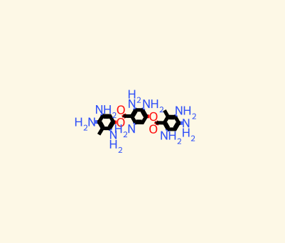 Cc1c(N)c(N)cc(OC(=O)c2c(N)cc(OC(=O)c3c(N)cc(N)c(N)c3C)c(N)c2N)c1N